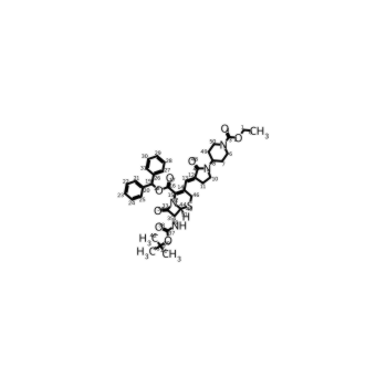 CCOC(=O)N1CCC(N2CC/C(=C\C3=C(C(=O)OC(c4ccccc4)c4ccccc4)N4C(=O)[C@@H](NC(=O)OC(C)(C)C)[C@H]4SC3)C2=O)CC1